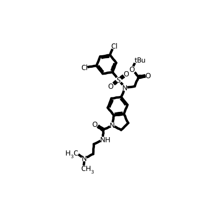 CN(C)CCNC(=O)N1CCc2cc(N(CC(=O)OC(C)(C)C)S(=O)(=O)c3cc(Cl)cc(Cl)c3)ccc21